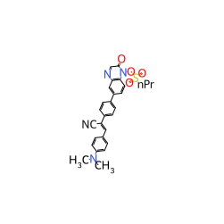 CCCS(=O)(=O)On1c(=O)cnc2cc(-c3ccc(/C(C#N)=C/c4ccc(N(C)C)cc4)cc3)ccc21